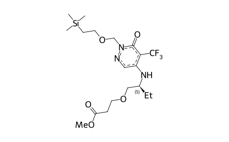 CC[C@@H](COCCC(=O)OC)Nc1cnn(COCC[Si](C)(C)C)c(=O)c1C(F)(F)F